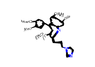 CCOC(=O)c1c(CCCn2ccnc2)nc2cc(OC)c(OC)cc2c1-c1ccc(OC)c(OC)c1